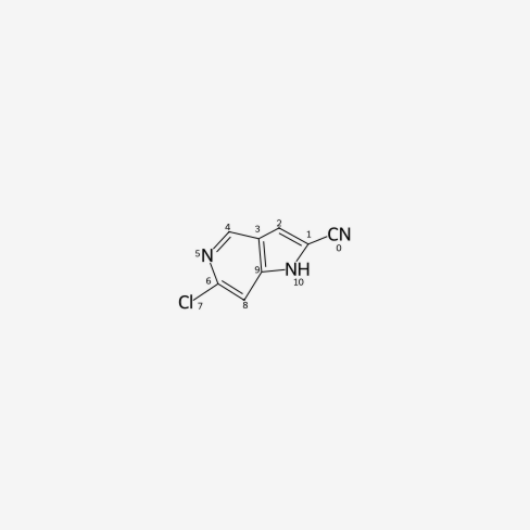 N#Cc1cc2cnc(Cl)cc2[nH]1